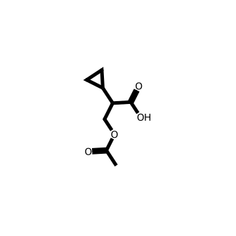 CC(=O)OCC(C(=O)O)C1CC1